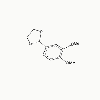 COc1ccc(C2OCCO2)cc1OC